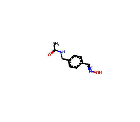 BC(=O)NCc1ccc(/C=N/O)cc1